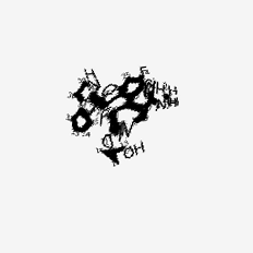 [2H]C([2H])([2H])NC(=O)c1cnc(OC2(CO)CC2)c(F)c1-c1c(Cl)c(F)cc2c1C[C@](c1ccccc1)([C@@H]1CCCN1)O2